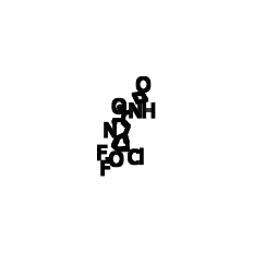 O=C1CC(NC(=O)c2cnc3cc(OC(F)F)c(Cl)cc3c2)C1